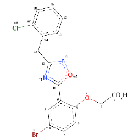 O=C(O)COc1ccc(Br)cc1-c1nc(Cc2ccccc2Cl)no1